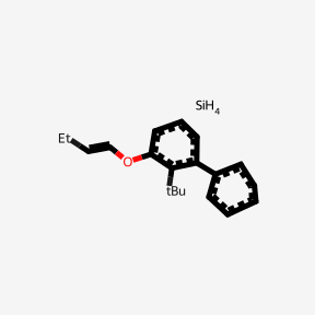 CCC=COc1cccc(-c2ccccc2)c1C(C)(C)C.[SiH4]